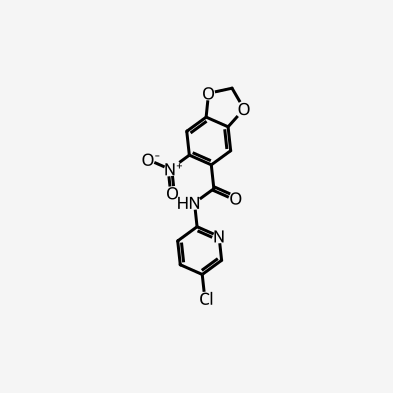 O=C(Nc1ccc(Cl)cn1)c1cc2c(cc1[N+](=O)[O-])OCO2